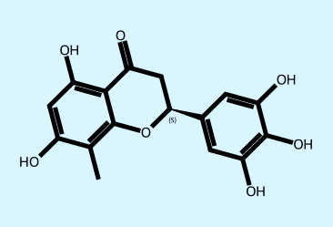 Cc1c(O)cc(O)c2c1O[C@H](c1cc(O)c(O)c(O)c1)CC2=O